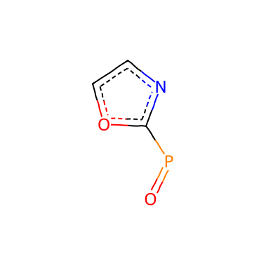 O=Pc1ncco1